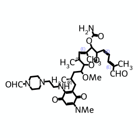 CNC1=CC(=O)C(NCCN2CCN(C=O)CC2)=C(C[C@@H](C)CC(OC)C2OOC(/C=C\C=C(/C)C=O)C(OC(N)=O)/C(C)=C/[C@@H]2C)C1=O